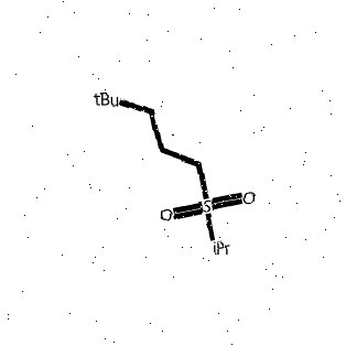 CC(C)S(=O)(=O)CCCC(C)(C)C